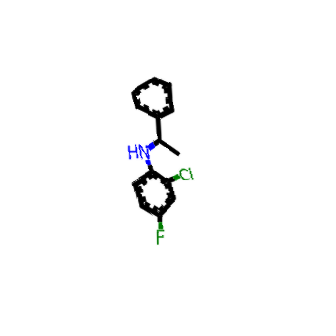 CC(Nc1ccc(F)cc1Cl)c1ccccc1